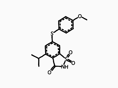 COc1ccc(Sc2cc(C(C)C)c3c(c2)S(=O)(=O)NC3=O)cc1